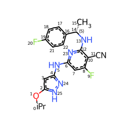 CC(C)Oc1cc(Nc2cc(F)c(C#N)c(N[C@@H](C)c3ccc(F)cc3)n2)n[nH]1